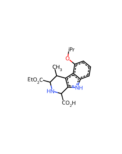 CCOC(=O)C1NC(C(=O)O)c2[nH]c3cccc(OC(C)C)c3c2C1C